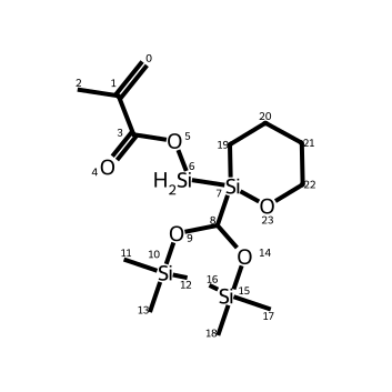 C=C(C)C(=O)O[SiH2][Si]1(C(O[Si](C)(C)C)O[Si](C)(C)C)CCCCO1